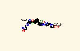 COc1nc(O[C@H]2CCc3c(-c4cccc(C(=O)Nc5ccc(CN6CCCC(O)(C(=O)O)C6)cn5)c4Cl)cccc32)c(Cl)cc1CNCC1CCC(=O)N1